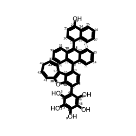 Oc1c(O)c(O)c(-c2ccc(-c3c4ccccc4c(-c4ccc(O)c5ccccc45)c4ccccc34)c3c4c(oc23)C=CCC=C4)c(O)c1O